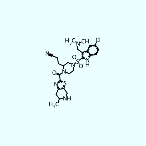 CC1Cc2nc(C(=O)N3CCN(S(=O)(=O)c4[nH]c5ccc(Cl)cc5c4CN(C)C)CC3CCC#N)sc2CN1